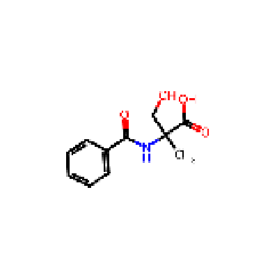 CC(CO)(NC(=O)c1ccccc1)C(=O)O